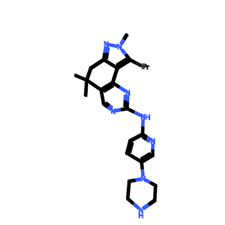 CC(C)c1c2c(nn1C)CC(C)(C)c1cnc(Nc3ccc(N4CCNCC4)cn3)nc1-2